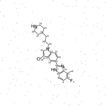 Cc1c(F)ccc2[nH]c(-c3ccc4c(c3)c(Cl)cn4CCCC3CCNCC3)nc12